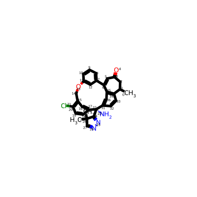 CC1CC(=O)C=C2c3cccc(c3)OCc3cc(ccc3Cl)[C@](N)(C3=NN=CC3(C)C)c3ccc1c2c3